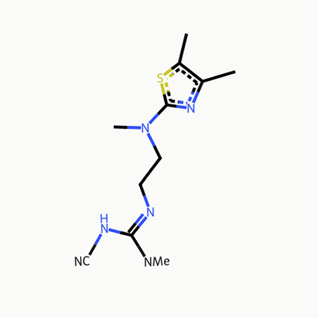 CNC(=NCCN(C)c1nc(C)c(C)s1)NC#N